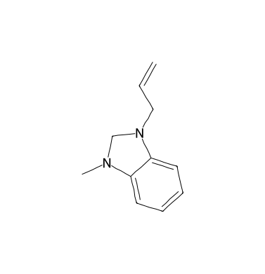 C=CCN1CN(C)c2ccccc21